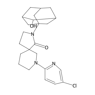 O=C1N(C23CC4CC(C2)C(O)C(C4)C3)CCC12CCCN(c1ccc(Cl)cn1)C2